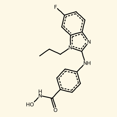 CCCn1c(Nc2ccc(C(=O)NO)cc2)nc2ccc(F)cc21